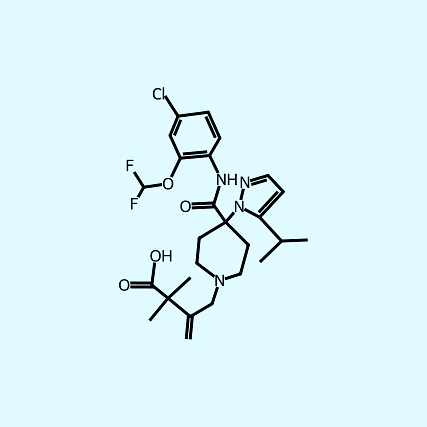 C=C(CN1CCC(C(=O)Nc2ccc(Cl)cc2OC(F)F)(n2nccc2C(C)C)CC1)C(C)(C)C(=O)O